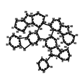 c1ccc(-n2c3ccccc3c3cc4c(cc32)-c2cc3c(cc2-c2c(ccc5sc6ccccc6c25)-c2ccc5sc6ccccc6c5c2-4)-c2ccccc2C3)cc1